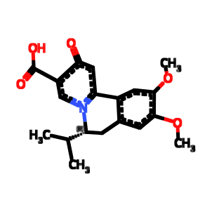 COc1cc2c(cc1OC)-c1cc(=O)c(C(=O)O)cn1[C@@H](C(C)C)C2